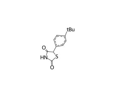 CC(C)(C)c1ccc(C2SC(=O)NC2=O)cc1